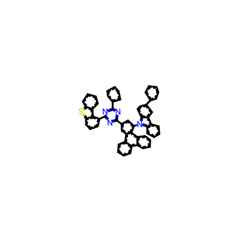 c1ccc(-c2ccc3c(c2)c2ccccc2n3-c2cc(-c3nc(-c4ccccc4)nc(-c4cccc5sc6ccccc6c45)n3)cc3c4ccccc4c4ccccc4c23)cc1